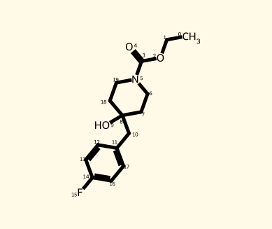 CCOC(=O)N1CCC(O)(Cc2ccc(F)cc2)CC1